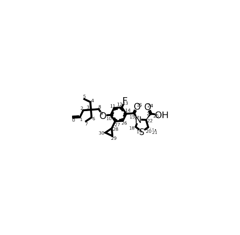 C=CCC(CC)(CC)COc1cc(F)c(C(=O)N2CS[C@@H](C)[C@@H]2C(=O)O)cc1C1CC1